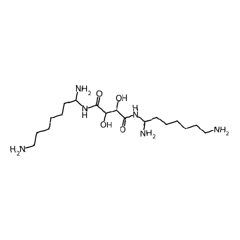 NCCCCCCC(N)NC(=O)C(O)C(O)C(=O)NC(N)CCCCCCN